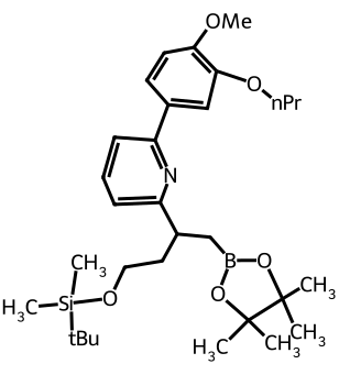 CCCOc1cc(-c2cccc(C(CCO[Si](C)(C)C(C)(C)C)CB3OC(C)(C)C(C)(C)O3)n2)ccc1OC